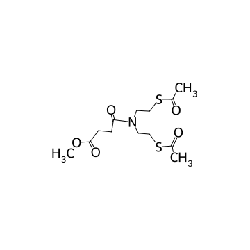 COC(=O)CCC(=O)N(CCSC(C)=O)CCSC(C)=O